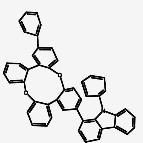 c1ccc(-c2ccc3c(c2)-c2ccccc2Oc2ccccc2-c2cc(-c4cccc5c6ccccc6n(-c6ccccc6)c45)ccc2O3)cc1